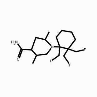 CC1CN(C2(CF)CCCCC2(CF)CF)C(C)CC1C(N)=O